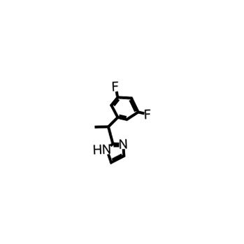 CC(c1cc(F)cc(F)c1)c1ncc[nH]1